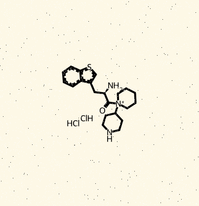 Cl.Cl.N[C@H](Cc1csc2ccccc12)C(=O)[N+]1(C2CCNCC2)CCCCC1